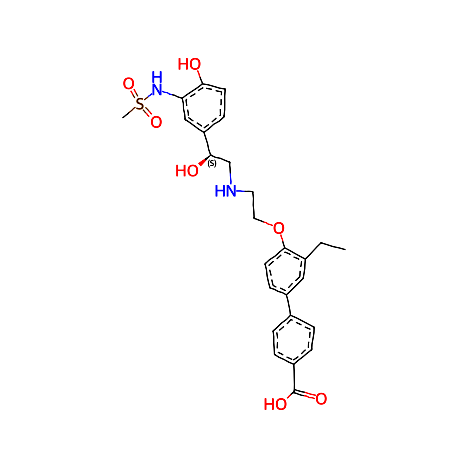 CCc1cc(-c2ccc(C(=O)O)cc2)ccc1OCCNC[C@@H](O)c1ccc(O)c(NS(C)(=O)=O)c1